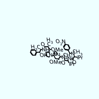 CCC(C)C(C(CC(=O)N1CCC[C@H]1C(OC)C(C)C(=O)NC(C)C(O)c1ccccc1)OC)N(C)C(=O)C(NC(=O)C(C(C)C)N(C)Cc1ccc([N+](=O)[O-])cc1)C(C)C